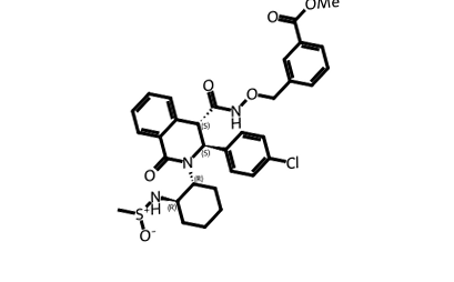 COC(=O)c1cccc(CONC(=O)[C@H]2c3ccccc3C(=O)N([C@@H]3CCCC[C@H]3N[S+](C)[O-])[C@@H]2c2ccc(Cl)cc2)c1